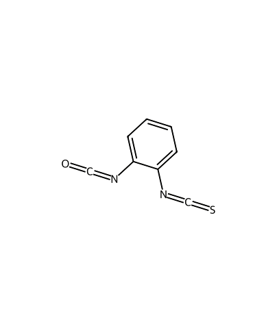 O=C=Nc1ccccc1N=C=S